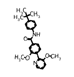 COc1cc(C(=O)Nc2ccc(C(C)(C)C)cc2)ccc1-c1ncccc1OC